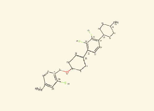 CCCCCc1ccc(COC2CCC(c3ccc(C4CCC(CCC)CC4)c(F)c3F)CC2)c(F)c1